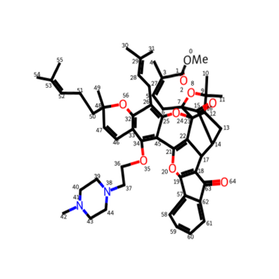 COC(=O)/C(C)=C\CC12OC(C)(C)C3CC(C1=O)C1C4=C(OC5=C1C32Oc1c(CC=C(C)C)c2c(c(OCCN3CCN(C)CC3)c15)C=CC(C)(CCC=C(C)C)O2)c1ccccc1C4=O